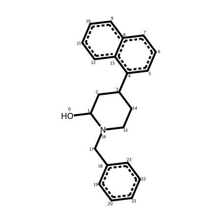 OC1CC(c2cccc3ccccc23)CCN1Cc1ccccc1